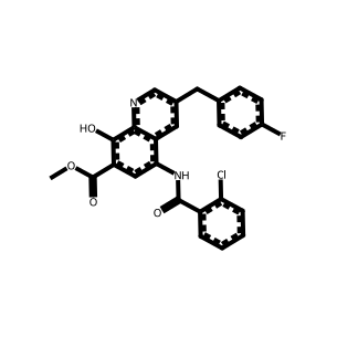 COC(=O)c1cc(NC(=O)c2ccccc2Cl)c2cc(Cc3ccc(F)cc3)cnc2c1O